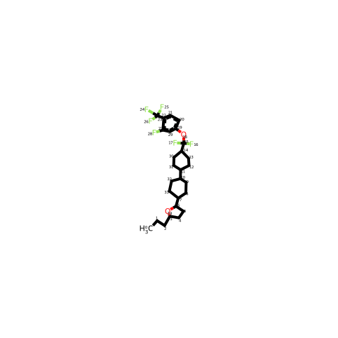 CCCC1CCC(C2CCC(C3CCC(C(F)(F)Oc4ccc(C(F)(F)F)c(F)c4)CC3)CC2)O1